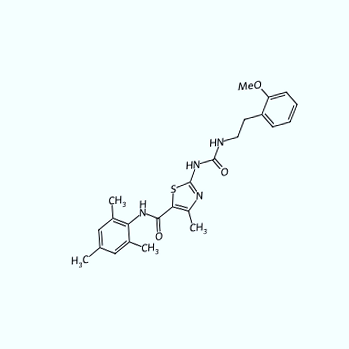 COc1ccccc1CCNC(=O)Nc1nc(C)c(C(=O)Nc2c(C)cc(C)cc2C)s1